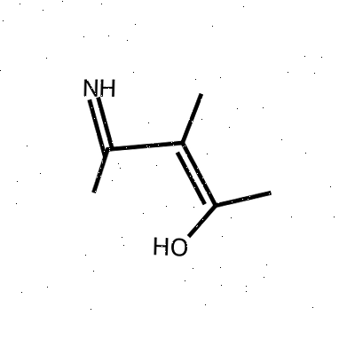 CC(=N)C(C)=C(C)O